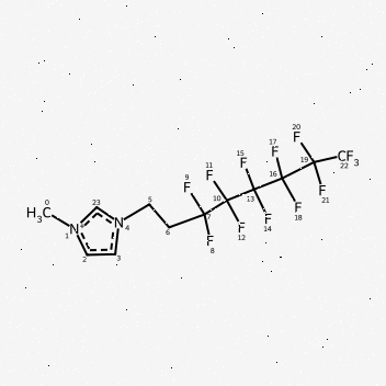 C[n+]1ccn(CCC(F)(F)C(F)(F)C(F)(F)C(F)(F)C(F)(F)C(F)(F)F)c1